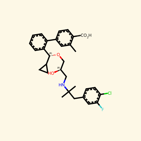 Cc1cc(-c2ccccc2[C@H](OC[C@H](O)CNC(C)(C)Cc2ccc(Cl)c(F)c2)C2CC2)ccc1C(=O)O